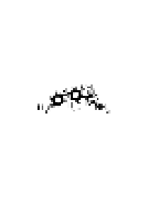 Cc1ccc(Sc2cc(C)c(-c3csc(N)n3)c(C)c2)cc1